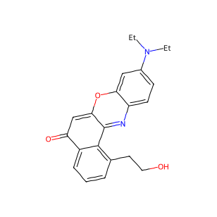 CCN(CC)c1ccc2nc3c4c(CCO)cccc4c(=O)cc-3oc2c1